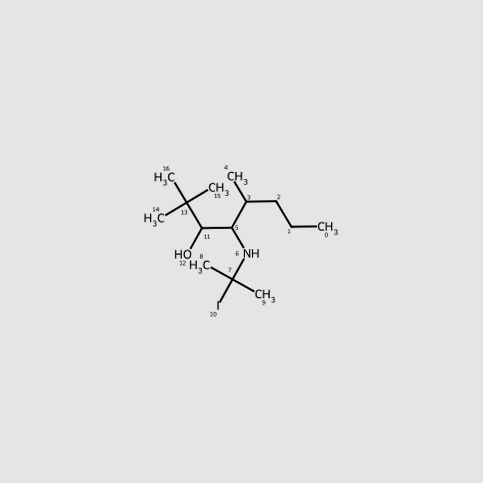 CCCC(C)C(NC(C)(C)I)C(O)C(C)(C)C